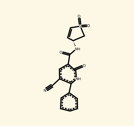 N#Cc1cc(C(=O)N[C@@H]2C=CS(=O)(=O)C2)c(=O)[nH]c1-c1ccccc1